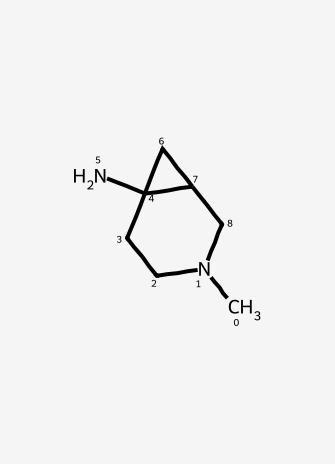 CN1CCC2(N)CC2C1